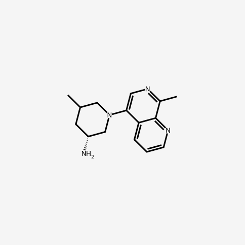 Cc1ncc(N2CC(C)C[C@@H](N)C2)c2cccnc12